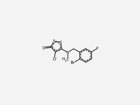 CN(Cc1cc(F)ccc1Br)c1ssc(=O)c1Cl